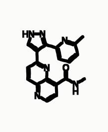 CNC(=O)c1ccnc2ccc(-c3c[nH]nc3-c3cccc(C)n3)nc12